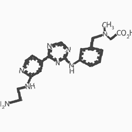 CN(CC(=O)O)Cc1cccc(Nc2ncnc(-c3ccnc(NCCN)c3)n2)c1